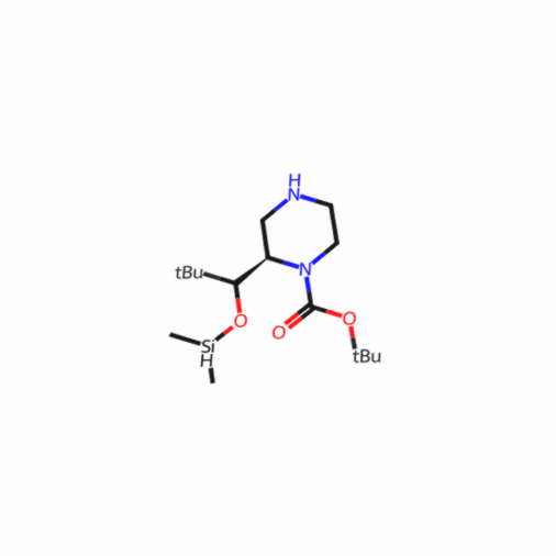 C[SiH](C)OC([C@H]1CNCCN1C(=O)OC(C)(C)C)C(C)(C)C